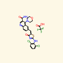 NC(=O)c1cnc2ccc(C=C3SC(Nc4c(Cl)cccc4Cl)=NC3=O)cc2c1N1CCOCC1.O=C(O)C(F)(F)F